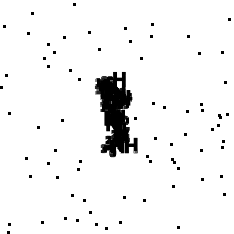 CC(C)(C)NC1CCN(c2ccc(-c3ccc(-n4cccn4)c4[nH]ncc34)nn2)C1